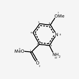 COC(=O)c1ccc(OC)nc1N